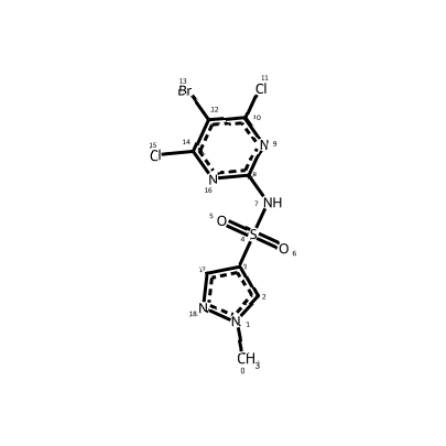 Cn1cc(S(=O)(=O)Nc2nc(Cl)c(Br)c(Cl)n2)cn1